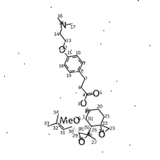 CO[C@@H]1[C@H](OC(=O)CCc2ccc(OCCN(C)C)cc2)CCC2(CO2)[C@H]1C1(C)O[C@@H]1CC=C(C)C